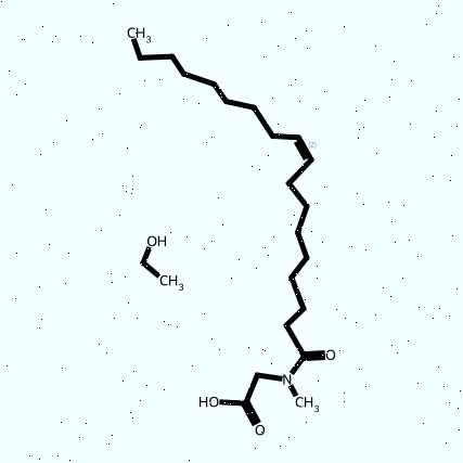 CCCCCCCC/C=C\CCCCCCCC(=O)N(C)CC(=O)O.CCO